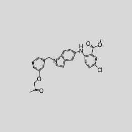 COC(=O)c1cc(Cl)ccc1Nc1ccc2c(ccn2Cc2cccc(OCC(C)=O)c2)c1